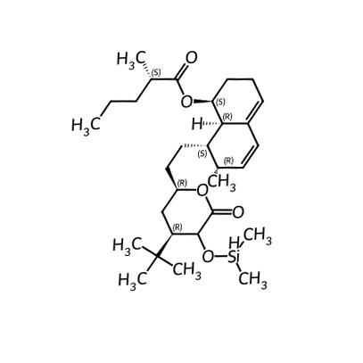 CCC[C@H](C)C(=O)O[C@H]1CCC=C2C=C[C@H](C)[C@H](CC[C@@H]3C[C@H](C(C)(C)C)C(O[SiH](C)C)C(=O)O3)[C@H]21